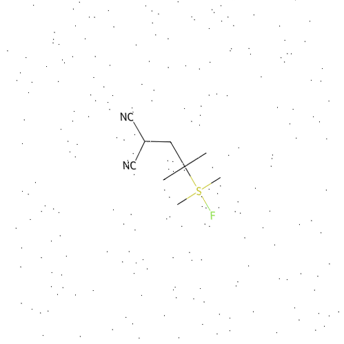 CC(C)(CC(C#N)C#N)S(C)(C)F